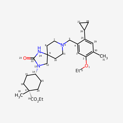 CCOc1cc(CN2CCC3(CC2)CN([C@H]2CC[C@@](C)(C(=O)OCC)CC2)C(=O)N3)c(C2CC2)cc1C